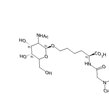 CC(=O)NC1[C@@H](OCCCC[C@H](NC(=O)CN(C)F)C(=O)O)OC(CO)[C@H](O)[C@@H]1O